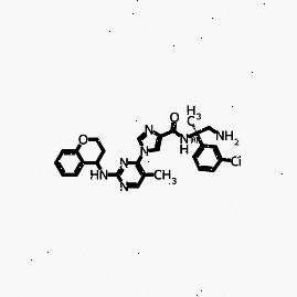 Cc1cnc(NC2CCOc3ccccc32)nc1-n1cnc(C(=O)N[C@@](C)(CN)c2cccc(Cl)c2)c1